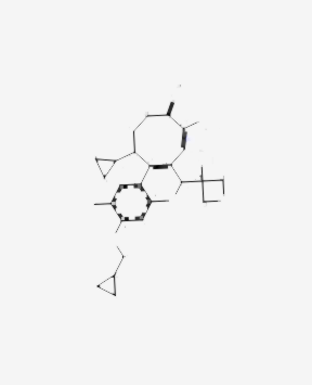 CCc1cc2c(cc1OCC1CC1)OC(C1(C)COC1)C1=C2C(C2CC2)CCC(=O)/C(C(=O)O)=C\1